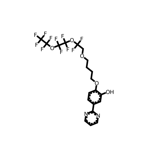 Oc1cc(-c2ncccn2)ccc1OCCCCOCC(F)(F)OC(F)(F)C(F)(F)OC(F)(F)C(F)(F)F